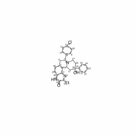 CCc1nc2cc(CC(c3ccc(Cl)cc3)N3CCC(O)(c4ccccc4)CC3)ccc2[nH]c1=O